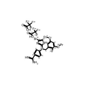 CCOc1cc(CN(c2ccc(C(=N)N)cc2)c2nc(Br)c[nH]2)c(F)c(OC(C)C)c1.O=C(O)C(F)(F)F.O=C(O)C(F)(F)F